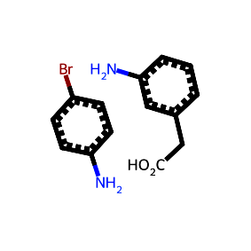 Nc1ccc(Br)cc1.Nc1cccc(CC(=O)O)c1